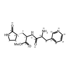 COC(=O)C(C[C@@H]1CCNC1=O)NC(=O)C(N)Cc1cccnc1